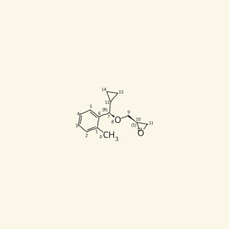 Cc1ccccc1[C@H](OC[C@H]1CO1)C1CC1